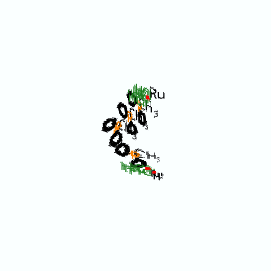 CP(c1ccccc1)c1ccccc1.CP(c1ccccc1)c1ccccc1.CP(c1ccccc1)c1ccccc1.CP(c1ccccc1)c1ccccc1.Cl.Cl.Cl.Cl.Cl.Cl.Cl.Cl.[H-].[Ru].[Ru]